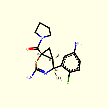 C[C@]1(c2cc(N)ccc2F)N=C(N)S[C@]2(C(=O)N3CCCC3)C[C@H]21